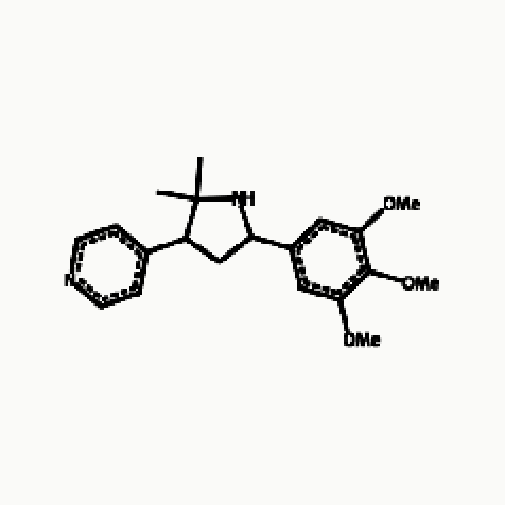 COc1cc(C2CC(c3ccncc3)C(C)(C)N2)cc(OC)c1OC